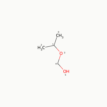 CC(C)O[CH]O